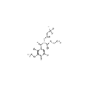 CCOC(=O)C(=CNCC(F)(F)F)C(=O)c1cc(F)c(F)c(OC)c1F